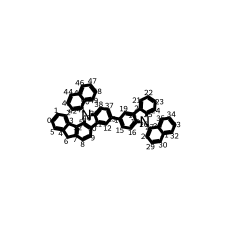 c1ccc2c(c1)Cc1ccc3c4cc(-c5ccc6c(c5)c5ccccc5n6-c5cccc6ccccc56)ccc4n(-c4cccc5ccccc45)c3c1-2